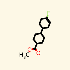 COC(=O)C1CCC(C2CC=C(F)CC2)CC1